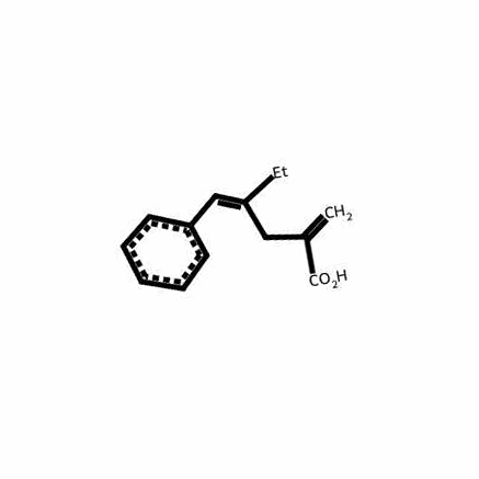 C=C(CC(=Cc1ccccc1)CC)C(=O)O